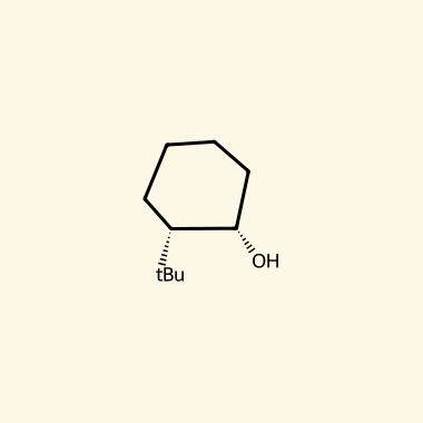 CC(C)(C)[C@@H]1CCCC[C@@H]1O